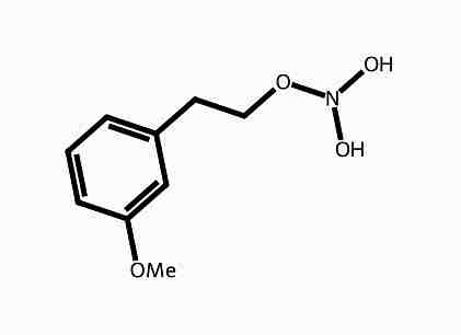 COc1cccc(CCON(O)O)c1